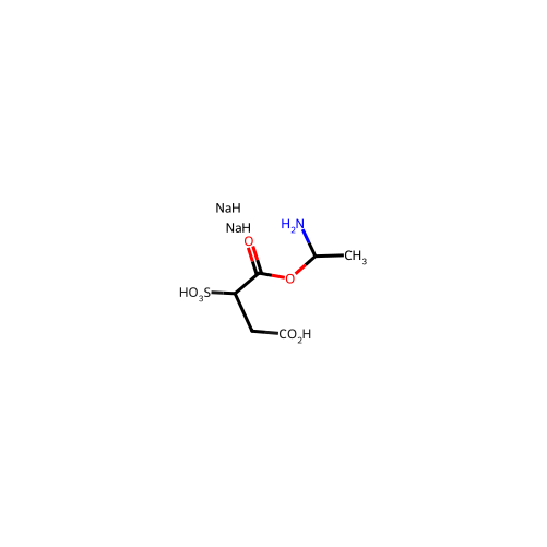 CC(N)OC(=O)C(CC(=O)O)S(=O)(=O)O.[NaH].[NaH]